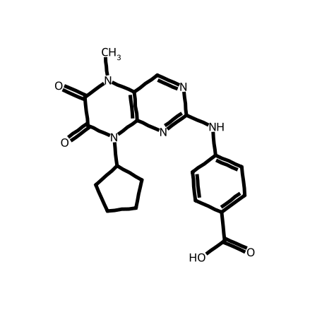 Cn1c(=O)c(=O)n(C2CCCC2)c2nc(Nc3ccc(C(=O)O)cc3)ncc21